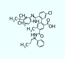 CCC[C@@H](NC(=O)c1cc(C(=O)O)c(-c2cc(Cl)ccc2-c2nc3cc(C(C)(C)C)ccc3[nH]2)cc1C)c1ccccc1